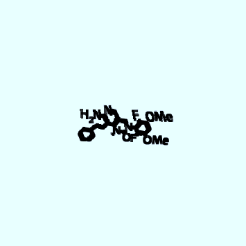 COc1cc(OC)c(F)c(N2Cc3cnc(N)c(C=Cc4ccccc4)c3N(C)C2=O)c1F